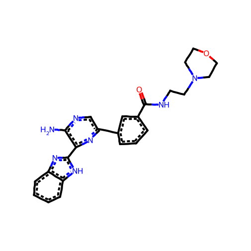 Nc1ncc(-c2cccc(C(=O)NCCN3CCOCC3)c2)nc1-c1nc2ccccc2[nH]1